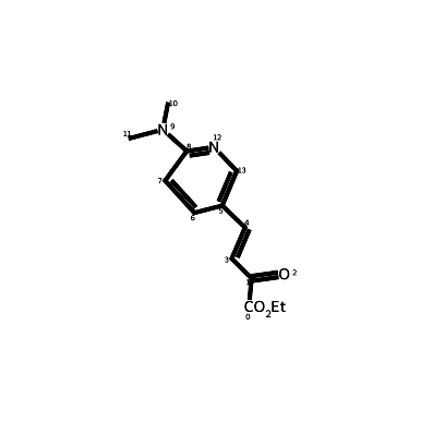 CCOC(=O)C(=O)/C=C/c1ccc(N(C)C)nc1